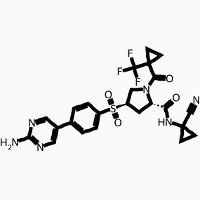 N#CC1(NC(=O)[C@@H]2C[C@@H](S(=O)(=O)c3ccc(-c4cnc(N)nc4)cc3)CN2C(=O)C2(C(F)(F)F)CC2)CC1